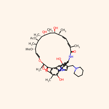 CO[C@H]1/C=C/O[C@@]2(C)Oc3c(C)c(O)c4c(O)c(c5c(CN6CCCCC6)c[nH]c5c4c3C2=O)NC(=O)/C(C)=C\C=C\[C@H](C)[C@H](O)[C@@H](C)[C@@H](O)[C@@H](C)[C@H](OC(C)=O)[C@@H]1C